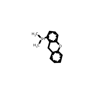 C[SH](C)c1cccc2c1Cc1ccccc1O2